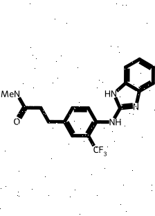 CNC(=O)CCc1ccc(Nc2nc3ccccc3[nH]2)c(C(F)(F)F)c1